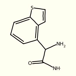 [NH]C(=O)C(N)c1cccc2sccc12